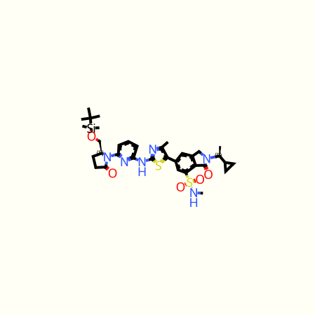 CNS(=O)(=O)c1cc(-c2sc(Nc3cccc(N4C(=O)CC[C@H]4CO[Si](C)(C)C(C)(C)C)n3)nc2C)cc2c1C(=O)N([C@@H](C)C1CC1)C2